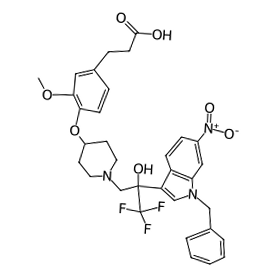 COc1cc(CCC(=O)O)ccc1OC1CCN(CC(O)(c2cn(Cc3ccccc3)c3cc([N+](=O)[O-])ccc23)C(F)(F)F)CC1